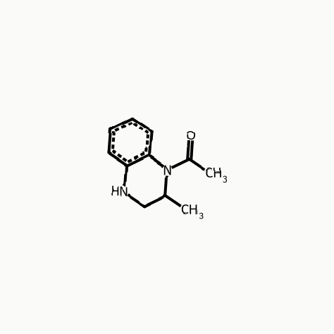 CC(=O)N1c2ccccc2NCC1C